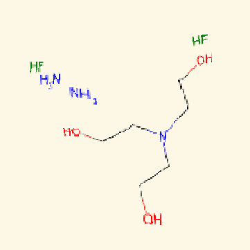 F.F.N.N.OCCN(CCO)CCO